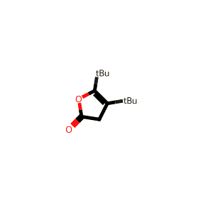 CC(C)(C)C1=C(C(C)(C)C)OC(=O)C1